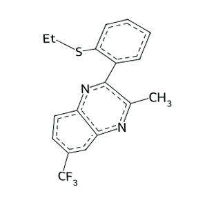 CCSc1ccccc1-c1nc2ccc(C(F)(F)F)cc2nc1C